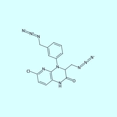 [N-]=[N+]=NCc1cccc(N2c3nc(Cl)ccc3NC(=O)C2CN=[N+]=[N-])c1